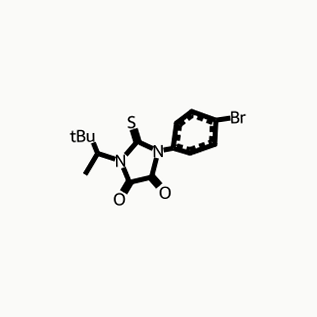 CC(N1C(=O)C(=O)N(c2ccc(Br)cc2)C1=S)C(C)(C)C